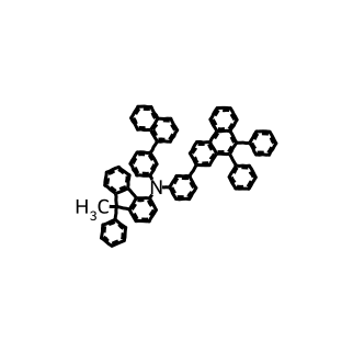 CC1(c2ccccc2)c2ccccc2-c2c(N(c3cccc(-c4ccc5c(c4)c(-c4ccccc4)c(-c4ccccc4)c4ccccc45)c3)c3cccc(-c4cccc5ccccc45)c3)cccc21